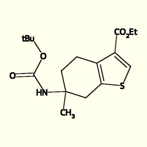 CCOC(=O)c1csc2c1CCC(C)(NC(=O)OC(C)(C)C)C2